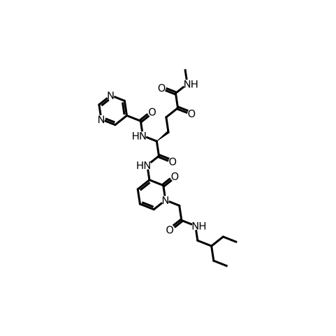 CCC(CC)CNC(=O)Cn1cccc(NC(=O)[C@H](CCC(=O)C(=O)NC)NC(=O)c2cncnc2)c1=O